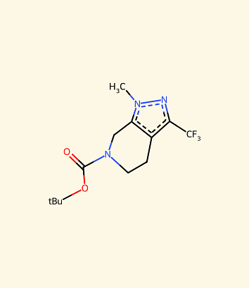 Cn1nc(C(F)(F)F)c2c1CN(C(=O)OC(C)(C)C)CC2